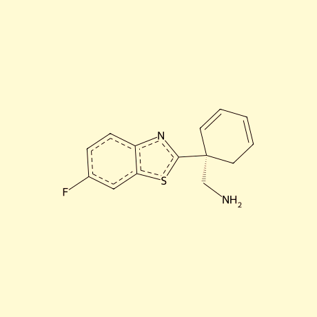 NC[C@]1(c2nc3ccc(F)cc3s2)C=CC=CC1